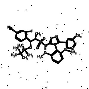 COc1cccc(OC)c1-n1c(NS(=O)(=O)[C@H](C)[C@@H](O[Si](C)(C)C(C)(C)C)c2ccc(C#N)cc2F)nnc1-c1cncc(C)c1